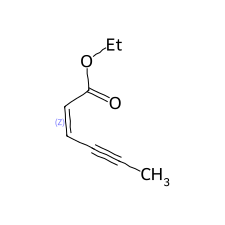 CC#C/C=C\C(=O)OCC